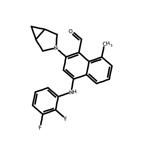 Cc1cccc2c(Nc3cccc(F)c3F)cc(N3CC4CC4C3)c(C=O)c12